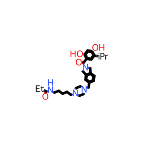 CCC(=O)NCCCCCN1CCN(Cc2ccc3c(c2)CN(C(=O)c2cc(C(C)C)c(O)cc2O)C3)CC1